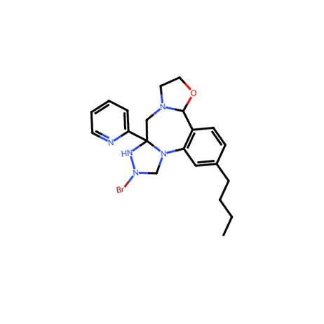 CCCCc1ccc2c(c1)N1CN(Br)NC1(c1ccccn1)CN1CCOC21